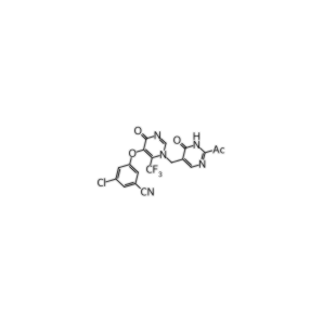 CC(=O)c1ncc(Cn2cnc(=O)c(Oc3cc(Cl)cc(C#N)c3)c2C(F)(F)F)c(=O)[nH]1